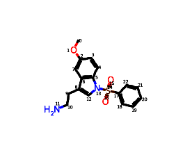 COc1ccc2c(c1)c(CCN)cn2S(=O)(=O)c1ccccc1